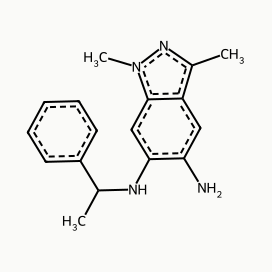 Cc1nn(C)c2cc(NC(C)c3ccccc3)c(N)cc12